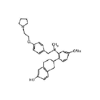 COc1ccc(C2CCc3cc(O)ccc3C2)c(N(C)Cc2ccc(OCCN3CCCC3)cc2)c1